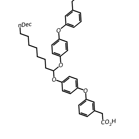 CCCCCCCCCCCCCCCCCC(Oc1ccc(Oc2cccc(CC(=O)O)c2)cc1)Oc1ccc(Oc2cccc(CC(=O)O)c2)cc1